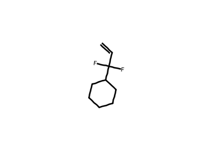 C=CC(F)(F)C1CCCCC1